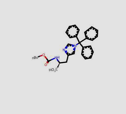 CCCCOC(=O)N[C@@H](Cc1cn(C(c2ccccc2)(c2ccccc2)c2ccccc2)cn1)C(=O)O